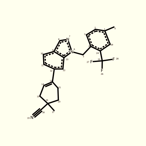 Cc1ccc(Cn2ncc3ccc(C4=CCC(C)(C#N)CC4)cc32)c(C(F)(F)F)c1